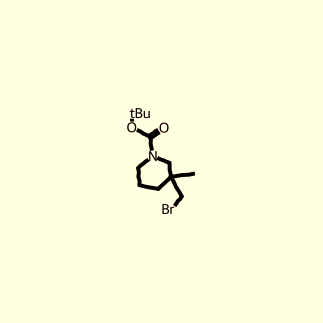 CC1(CBr)CCCN(C(=O)OC(C)(C)C)C1